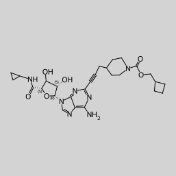 Nc1nc(C#CCC2CCN(C(=O)OCC3CCC3)CC2)nc2c1ncn2[C@@H]1O[C@H](C(=O)NC2CC2)C(O)[C@@H]1O